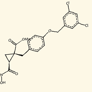 COC(=O)[C@@]1(Cc2ccc(OCc3cc(Cl)cc(Cl)c3)cc2)C[C@@H]1C(=O)NO